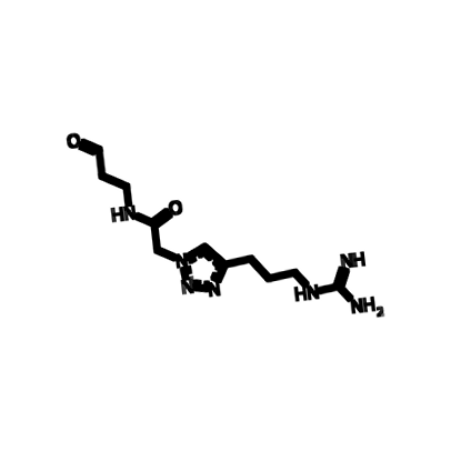 N=C(N)NCCCc1cn(CC(=O)NCCC=O)nn1